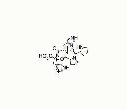 O=C(O)[C@H](Cc1c[nH]cn1)NC(=O)[C@H](Cc1c[nH]cn1)NC(=O)[C@@H]1CCCN1C(=O)[C@@H]1CCCN1